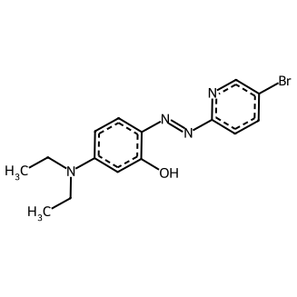 CCN(CC)c1ccc(N=Nc2ccc(Br)cn2)c(O)c1